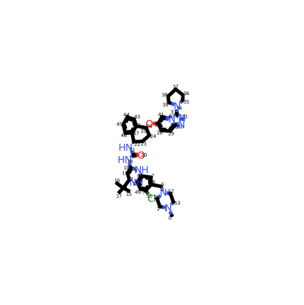 CN1CCN(Cc2cc(N/C(=C\C(=N)C(C)(C)C)NC(=O)N[C@H]3CC[C@@H](Oc4ccc5nnc(N6CCCCC6)n5c4)c4ccccc43)ccc2Cl)CC1